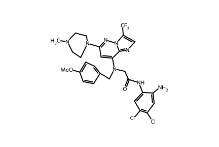 COc1ccc(CN(CC(=O)Nc2cc(Cl)c(Cl)cc2N)c2cc(N3CCN(C)CC3)nn3c(C(F)(F)F)cnc23)cc1